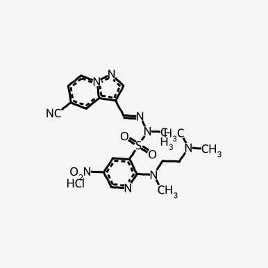 CN(C)CCN(C)c1ncc([N+](=O)[O-])cc1S(=O)(=O)N(C)N=Cc1cnn2ccc(C#N)cc12.Cl